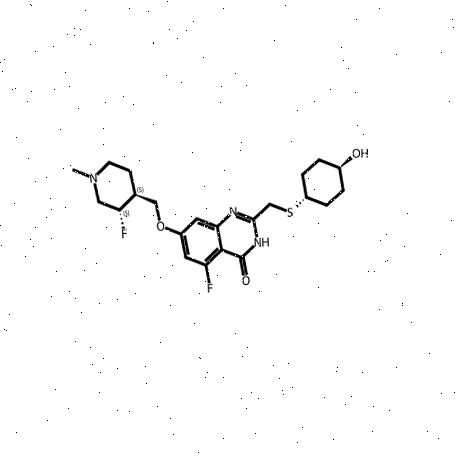 CN1CC[C@@H](COc2cc(F)c3c(=O)[nH]c(CS[C@H]4CC[C@H](O)CC4)nc3c2)[C@H](F)C1